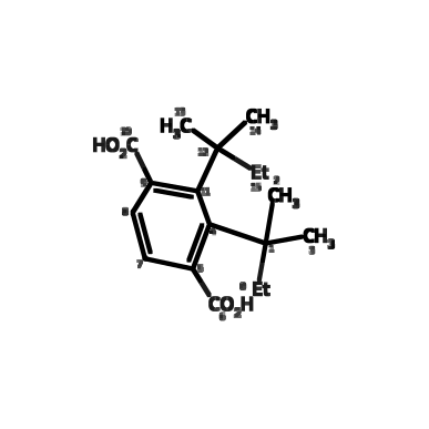 CCC(C)(C)c1c(C(=O)O)ccc(C(=O)O)c1C(C)(C)CC